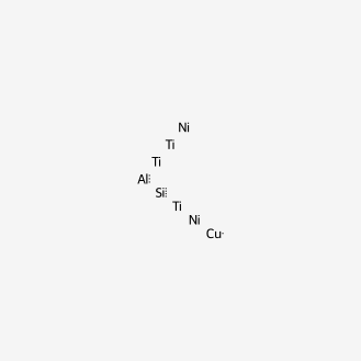 [Al].[Cu].[Ni].[Ni].[Si].[Ti].[Ti].[Ti]